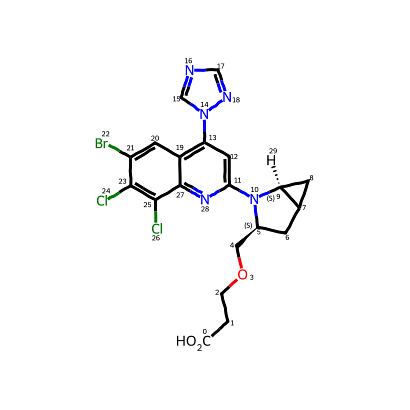 O=C(O)CCOC[C@@H]1CC2C[C@@H]2N1c1cc(-n2cncn2)c2cc(Br)c(Cl)c(Cl)c2n1